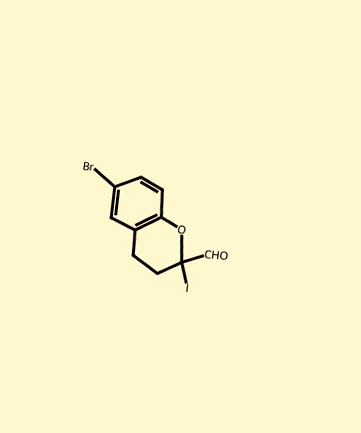 O=CC1(I)CCc2cc(Br)ccc2O1